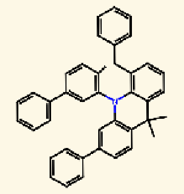 Cc1ccc(-c2ccccc2)cc1N1c2cc(-c3ccccc3)ccc2C(C)(C)c2cccc(Cc3ccccc3)c21